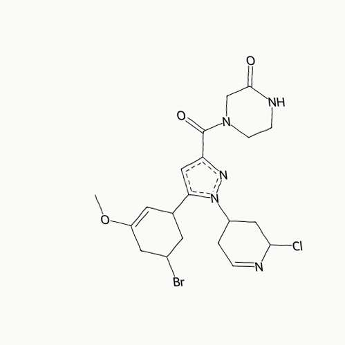 COC1=CC(c2cc(C(=O)N3CCNC(=O)C3)nn2C2CC=NC(Cl)C2)CC(Br)C1